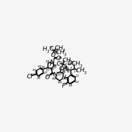 CC(C)[C@H](N[S@@+]([O-])C(C)(C)C)c1cccc(F)c1N1CCN(C(=O)C2CN(C(=O)OC(C)(C)C)CC2c2ccc(Cl)cc2)CC1